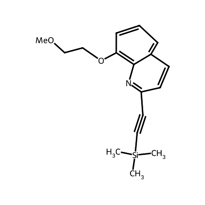 COCCOc1cccc2ccc(C#C[Si](C)(C)C)nc12